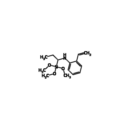 C=Cc1ccccc1NC(CC)[Si](OC)(OC)OC